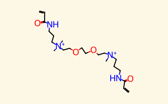 C=CC(=O)NCCC[N+](C)(C)CCOCCOCC[N+](C)(C)CCCNC(=O)C=C